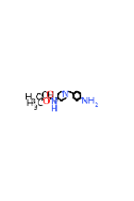 CC(C)(C)OC(=O)NC1CCN(Cc2ccc(N)cc2)CC1